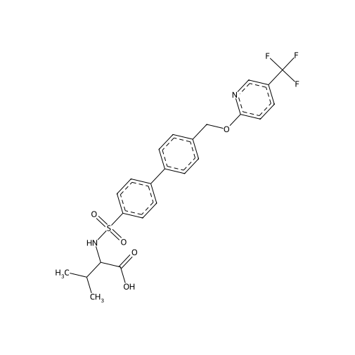 CC(C)C(NS(=O)(=O)c1ccc(-c2ccc(COc3ccc(C(F)(F)F)cn3)cc2)cc1)C(=O)O